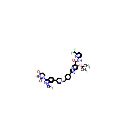 CC(C)Oc1cc2nc(C3CCC(CN4CCC(c5ccc6c(N7CCC(=O)NC7=O)nn(C)c6c5)CC4)CC3)cn2cc1C(=O)Nc1cccc(C(F)F)n1